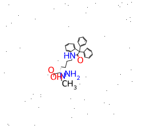 CCN(N)[C@@H](CCCCNC(=O)C(c1ccccc1)(c1ccccc1)c1ccccc1)C(=O)O